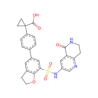 O=C1NCCc2ncc(NS(=O)(=O)c3cc(-c4ccc(C5(C(=O)O)CC5)cc4)cc4c3OCC4)cc21